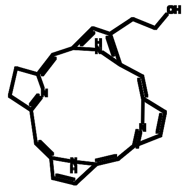 OCCc1cc2cc3nc(cc4ccc(cc5nc(cc1[nH]2)C=C5)[nH]4)CC3